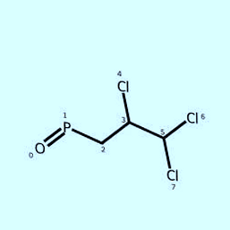 O=PCC(Cl)C(Cl)Cl